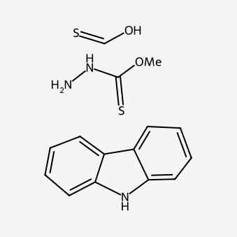 COC(=S)NN.OC=S.c1ccc2c(c1)[nH]c1ccccc12